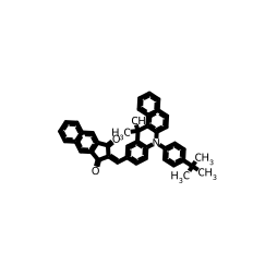 CC(C)(C)c1ccc(N2c3ccc(C=C4C(=O)c5cc6ccccc6cc5C4=O)cc3C(C)(C)c3c2ccc2ccccc32)cc1